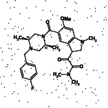 COc1cc2c(cc1C(=O)N1C[C@H](C)N(Cc3ccc(F)cc3)C[C@@H]1C)C(C(=O)C(=O)N(C)C)CN2C